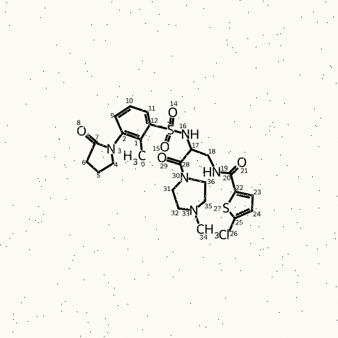 Cc1c(N2CCCC2=O)cccc1S(=O)(=O)NC(CNC(=O)c1ccc(Cl)s1)C(=O)N1CCN(C)CC1